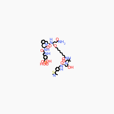 Cc1ncsc1-c1ccc(CNC(=O)[C@@H]2C[C@@H](O)CN2C(=O)[C@@H](NC(=O)CCCCCCCCOC[C@H](CCC(N)=O)NC(=O)[C@@H]2Cc3cccc4c3N2C(=O)[C@@H](NC(=O)c2cc3cc(C(=O)P(=O)(O)O)ccc3[nH]2)CC4)C(C)(C)C)cc1